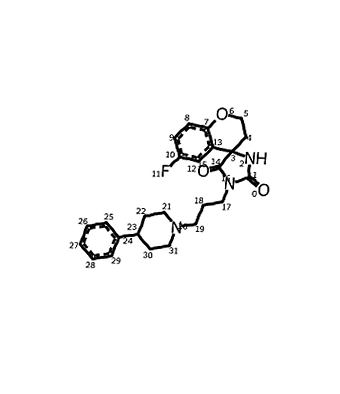 O=C1NC2(CCOc3ccc(F)cc32)C(=O)N1CCCN1CCC(c2ccccc2)CC1